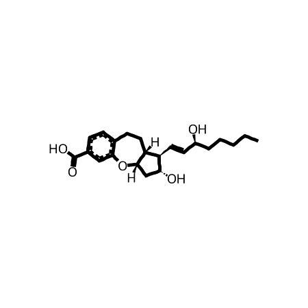 CCCCC[C@H](O)/C=C/[C@@H]1[C@H]2CCc3ccc(C(=O)O)cc3O[C@H]2C[C@H]1O